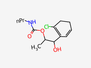 CCCNC(=O)OC(C)C(O)C1=C(Cl)CCC=C1